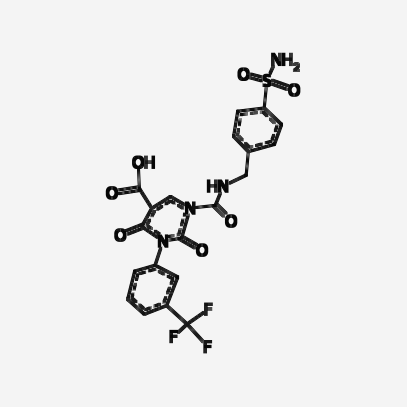 NS(=O)(=O)c1ccc(CNC(=O)n2cc(C(=O)O)c(=O)n(-c3cccc(C(F)(F)F)c3)c2=O)cc1